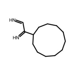 N=CC(=N)C1CCCCCCCCCC1